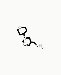 NCC1COCN(C2CCOCC2)C1